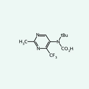 Cc1ncc(N(C(=O)O)C(C)(C)C)c(C(F)(F)F)n1